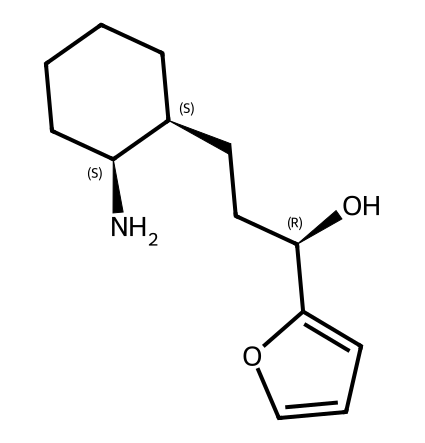 N[C@H]1CCCC[C@H]1CC[C@@H](O)c1ccco1